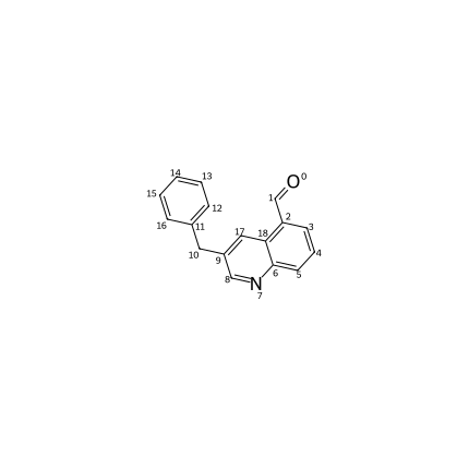 O=Cc1cccc2ncc(Cc3ccccc3)cc12